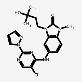 Cn1c(=O)n(CCC(C)(C)O)c2cc(Nc3nc(-n4cccn4)ncc3Cl)ccc21